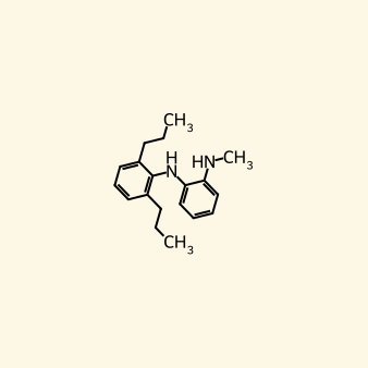 CCCc1cccc(CCC)c1Nc1ccccc1NC